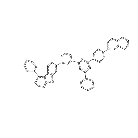 c1ccc(-c2nc(-c3ccc(-c4ccc5ccccc5c4)cc3)nc(-c3cccc(-c4ccc5c(c4)oc4cccc(-c6ccccn6)c45)c3)n2)cc1